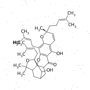 CC(C)=CCC[C@]1(C)C=Cc2c(O)c3c(c(CC=C(C)C)c2O1)OC12C(CC4CC1C(C)(C)OC2(C/C=C(\C)C(=O)O)C4O)C3=O